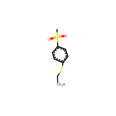 CS(=O)(=O)c1ccc(SCC(=O)O)cc1